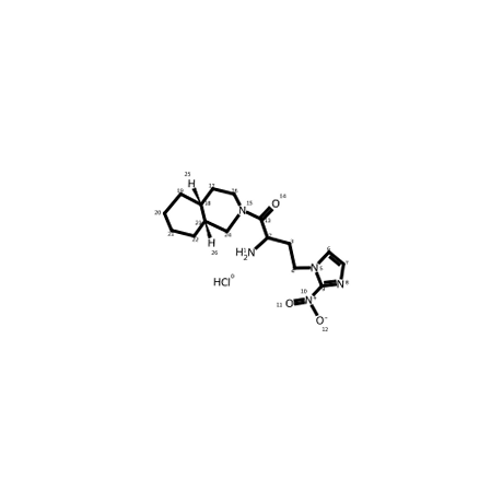 Cl.NC(CCn1ccnc1[N+](=O)[O-])C(=O)N1CC[C@H]2CCCC[C@H]2C1